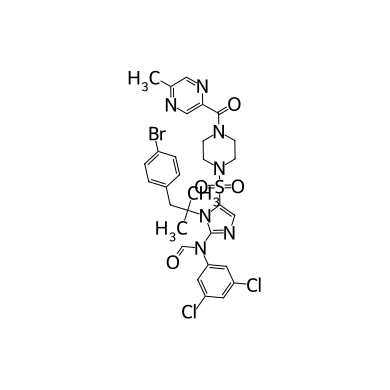 Cc1cnc(C(=O)N2CCN(S(=O)(=O)c3cnc(N(C=O)c4cc(Cl)cc(Cl)c4)n3C(C)(C)Cc3ccc(Br)cc3)CC2)cn1